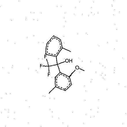 COc1ccc(C)cc1C(O)(c1ccccc1C)C(F)(F)F